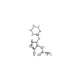 NC(=O)Oc1c(CN2CCCCC2)no[n+]1[O-]